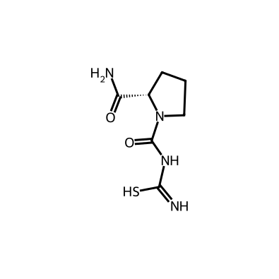 N=C(S)NC(=O)N1CCC[C@H]1C(N)=O